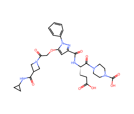 O=C(O)CC[C@H](NC(=O)c1cc(OCC(=O)N2CC(C(=O)NC3CC3)C2)n(-c2ccccc2)n1)C(=O)N1CCN(C(=O)O)CC1